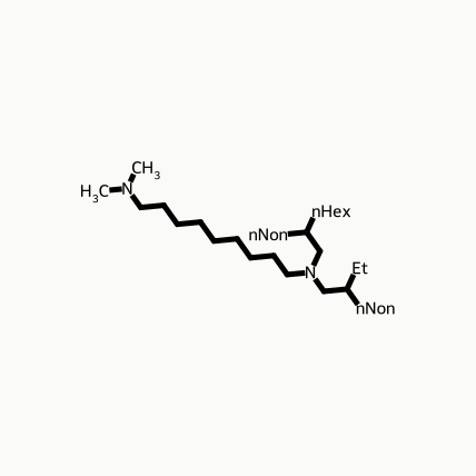 CCCCCCCCCC(CC)CN(CCCCCCCCCN(C)C)CC(CCCCCC)CCCCCCCCC